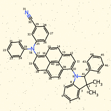 CC1(C)c2ccccc2N(c2ccc3ccc4c(N(c5ccccc5)c5cccc(C#N)c5)ccc5ccc2c3c54)C1c1ccccc1